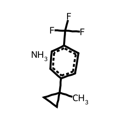 CC1(c2ccc(C(F)(F)F)cc2)CC1.N